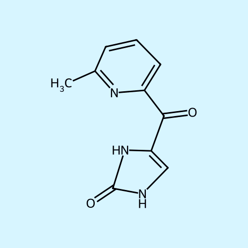 Cc1cccc(C(=O)c2c[nH]c(=O)[nH]2)n1